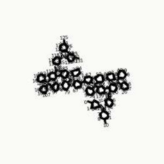 Cc1ccc(N(c2ccc(C)cc2)c2cccc(-n3c4ccc([Si](c5ccccc5)(c5ccccc5)c5ccccc5)cc4c4cc([Si](c5ccccc5)(c5ccccc5)c5cccc(-c6cccc([Si](c7ccccc7)(c7ccccc7)c7ccc8c(c7)c7cc([Si](c9ccccc9)(c9ccccc9)c9ccccc9)ccc7n8-c7cccc(-n8c9ccc(C)cc9c9cc(C)ccc98)c7)c6)c5)ccc43)c2)cc1